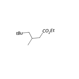 CCOC(=O)CC(C)CC(C)(C)C